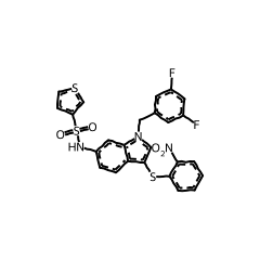 O=[N+]([O-])c1ccccc1Sc1cn(Cc2cc(F)cc(F)c2)c2cc(NS(=O)(=O)c3ccsc3)ccc12